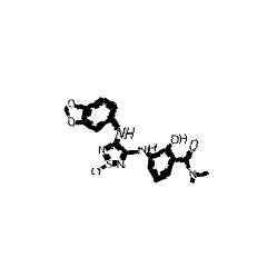 CN(C)C(=O)c1cccc(Nc2n[s+]([O-])nc2Nc2ccc3c(c2)OCO3)c1O